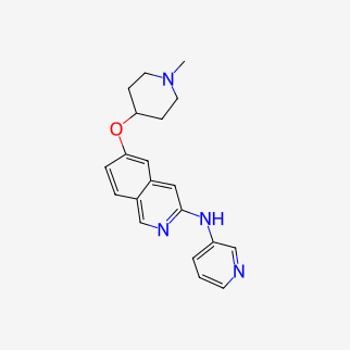 CN1CCC(Oc2ccc3cnc(Nc4cccnc4)cc3c2)CC1